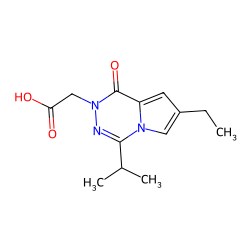 CCc1cc2c(=O)n(CC(=O)O)nc(C(C)C)n2c1